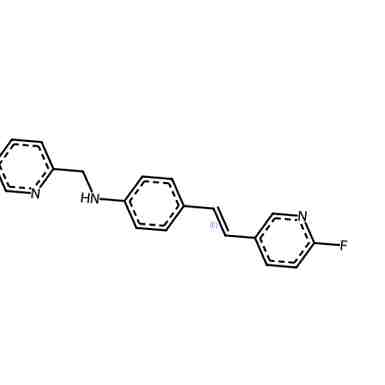 Fc1ccc(/C=C/c2ccc(NCc3ccccn3)cc2)cn1